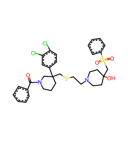 O=C(c1ccccc1)N1CCCC(CSCCN2CCC(O)(CS(=O)(=O)c3ccccc3)CC2)(c2ccc(Cl)c(Cl)c2)C1